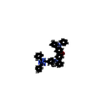 N#Cc1cc(-c2nc(-c3ccccc3)nc(-c3ccccc3)n2)ccc1-n1c2ccccc2c2cc3oc4cc5c(cc4c3cc21)c1ccccc1n5-c1ccccc1